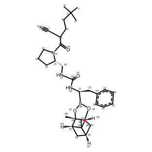 CC(C)(C)CCC(C#N)C(=O)N1CCC[C@H]1CNC(=O)N[C@@H](Cc1ccccc1)B1O[C@@H]2C[C@@H]3C[C@@H](C3(C)C)[C@]2(C)O1